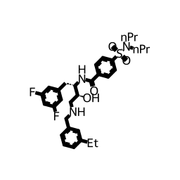 CCCN(CCC)S(=O)(=O)c1ccc(C(=O)N[C@@H](Cc2cc(F)cc(F)c2)[C@H](O)CNCc2cccc(CC)c2)cc1